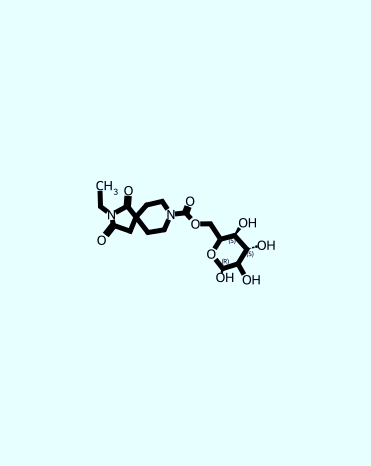 CCN1C(=O)CC2(CCN(C(=O)OCC3O[C@@H](O)C(O)[C@@H](O)[C@@H]3O)CC2)C1=O